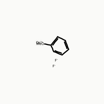 COc1ccccc1.[F-].[F-].[Os+2]